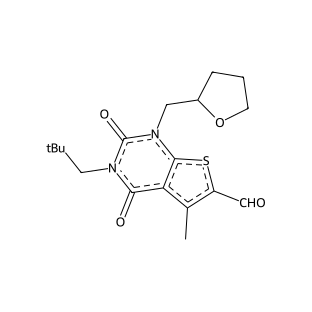 Cc1c(C=O)sc2c1c(=O)n(CC(C)(C)C)c(=O)n2CC1CCCO1